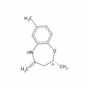 C=C1C[C@@H](C)Oc2ccc(C)cc2N1